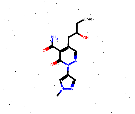 COCC(O)Cc1cnn(-c2cnn(C)c2)c(=O)c1C(N)=O